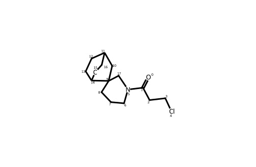 O=C(CCCl)N1CCCC2(CC3CCC2CC3)C1